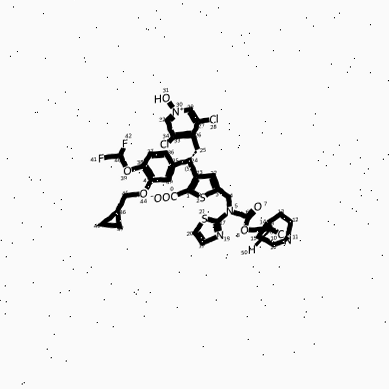 O=C([O-])c1sc(CN(C(=O)O[C@H]2CN3CCC2CC3)c2nccs2)cc1[C@@H](Cc1c(Cl)c[n+](O)cc1Cl)c1ccc(OC(F)F)c(OCC2CC2)c1